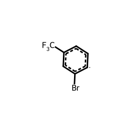 FC(F)(F)c1cc[c]c(Br)c1